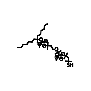 CCCCCCCC(C)(CCCCCC)OP(=O)(OC)OC(C)(C)CCOC(C)(C)P(=O)(OC)OC(C)(C)CC(C)(C)S